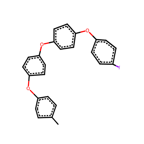 Cc1ccc(Oc2ccc(Oc3ccc(Oc4ccc(I)cc4)cc3)cc2)cc1